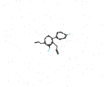 C=CCc1c[c]c(-c2ccc(F)cc2)c(CC=C)c1F